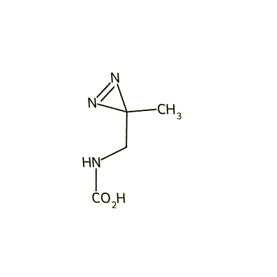 CC1(CNC(=O)O)N=N1